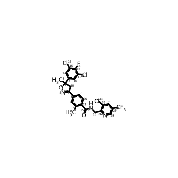 Cc1cc(C2=NOC(C)(c3cc(Cl)c(F)c(Cl)c3)C2)ccc1C(=O)NCc1ncc(C(F)(F)F)cc1Cl